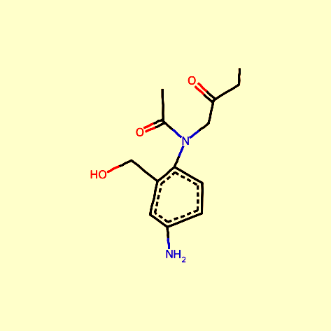 CCC(=O)CN(C(C)=O)c1ccc(N)cc1CO